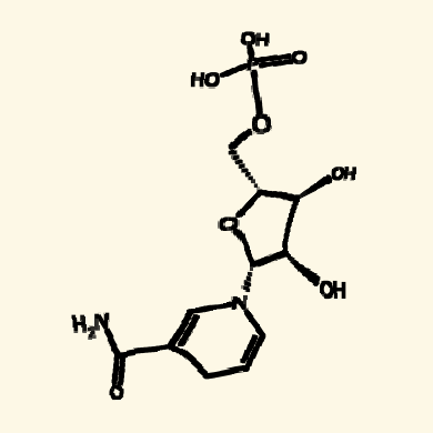 NC(=O)C1=CN([C@@H]2O[C@H](COP(=O)(O)O)[C@@H](O)[C@H]2O)C=CC1